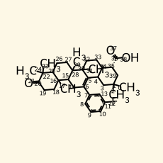 CC1(C)CC2C3=C(c4cccc(F)c4)CC4C5(C)CCC(=O)C(C)(C)C5CCC4(C)C3(C)CCC2[C@H](C(=O)O)C1